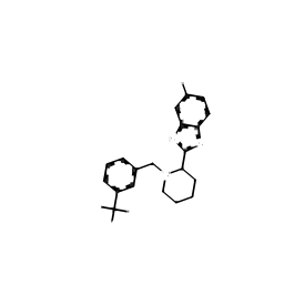 FC(F)(F)c1cccc(CN2CCCCC2c2nc3ccc(Cl)cc3[nH]2)c1